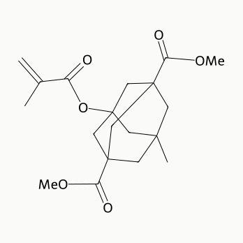 C=C(C)C(=O)OC12CC3(C)CC(C(=O)OC)(C1)CC(C(=O)OC)(C3)C2